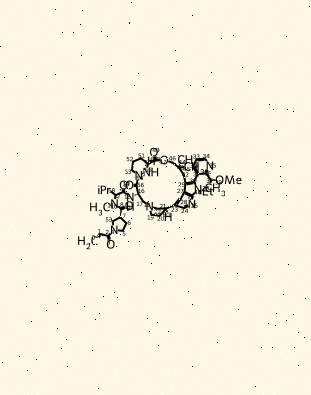 C=CC(=O)N1CC[C@H](C(=O)N(C)C(C(=O)N[C@H]2CN3CC[C@H](C3)c3cnc4c(c3)c(c(-c3cccnc3[C@H](C)OC)n4CC)CC(C)(C)COC(=O)[C@@H]3CCCN(N3)C2=O)C(C)C)C1